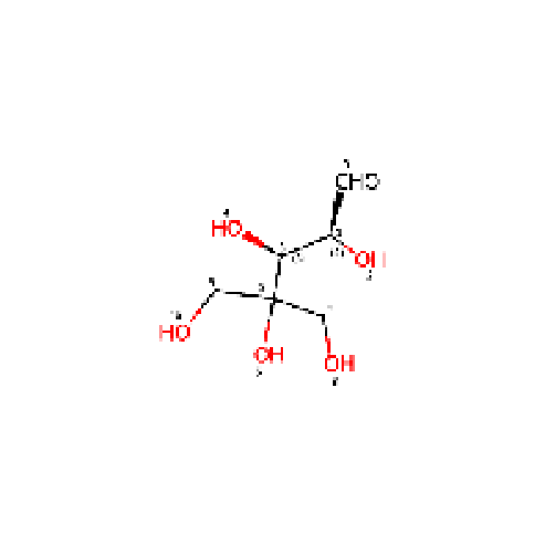 O=C[C@@H](O)[C@H](O)C(O)(CO)CO